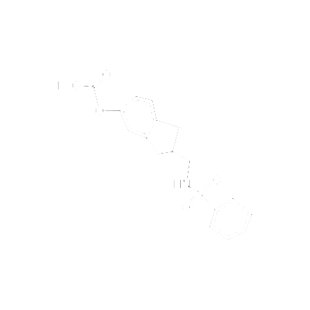 CC(=O)Oc1ccc2c(c1)CC(CNS(=O)(=O)c1ccccc1)C2